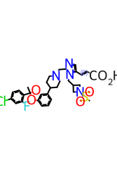 CC1(c2ccc(Cl)cc2F)Oc2cccc(C3CCN(Cc4ncc(/C=C/C(=O)O)n4CC4CN(S(C)(=O)=O)C4)CC3)c2O1